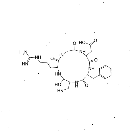 N=C(N)NCCCC1NC(O)C(CS)NC(=O)C(Cc2ccccc2)NC(=O)C(CC(=O)O)NC(=O)CNC1=O